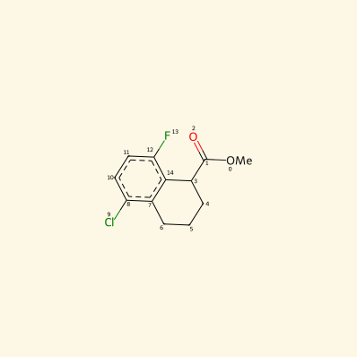 COC(=O)C1CCCc2c(Cl)ccc(F)c21